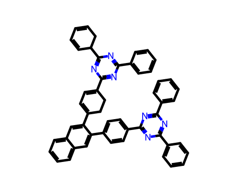 C1=CCC(c2nc(C3=CC=C(c4cc5ccccc5cc4-c4ccc(-c5nc(-c6ccccc6)nc(-c6ccccc6)n5)cc4)CC3)nc(-c3ccccc3)n2)C=C1